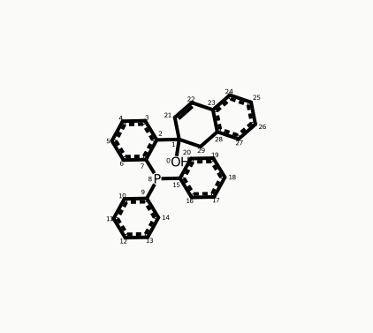 OC1(c2ccccc2P(c2ccccc2)c2ccccc2)C=Cc2ccccc2C1